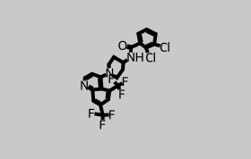 O=C(NC1CCN(c2ccnc3cc(C(F)(F)F)cc(C(F)(F)F)c23)CC1)c1cccc(Cl)c1Cl